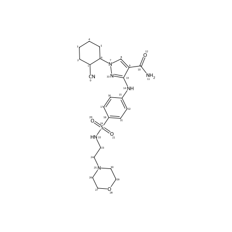 N#CC1CCCCC1n1cc(C(N)=O)c(Nc2ccc(S(=O)(=O)NCCN3CCOCC3)cc2)n1